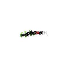 CC1CCC(COc2ccc(-c3cc(F)c(-c4ccc5c(F)c(C#CC(F)(F)F)c(F)cc5c4)c(F)c3)c(F)c2)CC1